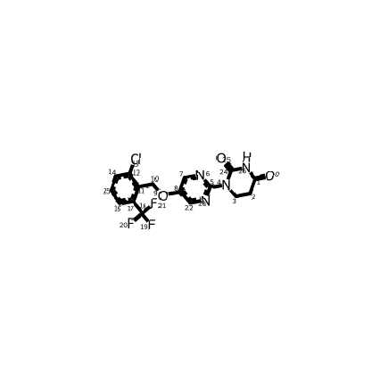 O=C1CCN(c2ncc(OCc3c(Cl)cccc3C(F)(F)F)cn2)C(=O)N1